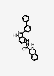 O=C(Nc1ccc2[nH]nc(-c3cccc(-c4ccccc4)c3)c2c1)C1Cc2ccccc2CN1